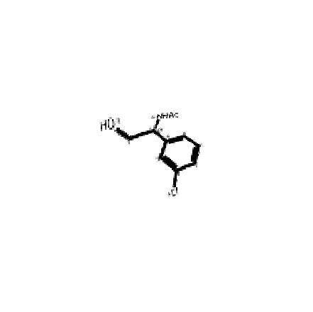 CC(=O)N[C@H](CO)c1cccc(Cl)c1